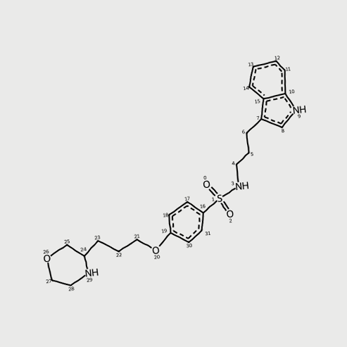 O=S(=O)(NCCCc1c[nH]c2ccccc12)c1ccc(OCCCC2COCCN2)cc1